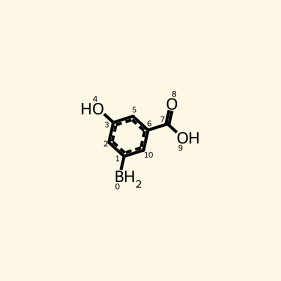 Bc1cc(O)cc(C(=O)O)c1